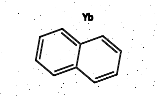 [Yb].c1ccc2ccccc2c1